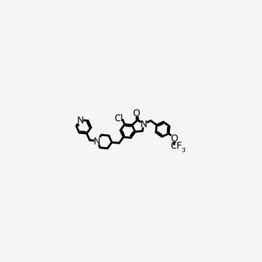 O=C1c2c(Cl)cc(CC3CCN(Cc4ccncc4)CC3)cc2CN1Cc1ccc(OC(F)(F)F)cc1